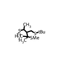 CCSC(C)C(CSC(C)(C)C)C(C)(C)SC